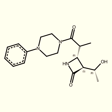 CC(C(=O)N1CCN(c2ccccc2)CC1)[C@H]1NC(=O)[C@@H]1[C@@H](C)O